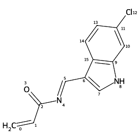 C=CC(=O)N=Cc1c[nH]c2cc(Cl)ccc12